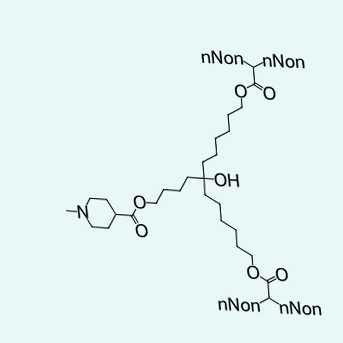 CCCCCCCCCC(CCCCCCCCC)C(=O)OCCCCCCC(O)(CCCCCCOC(=O)C(CCCCCCCCC)CCCCCCCCC)CCCCOC(=O)C1CCN(C)CC1